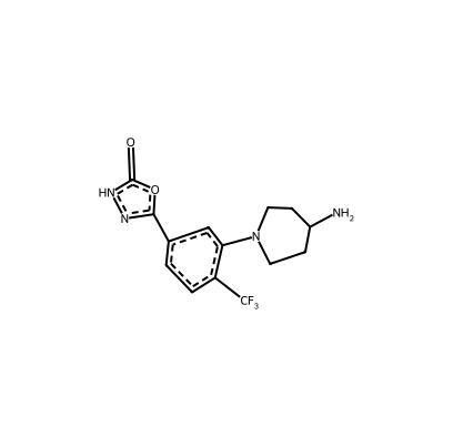 NC1CCN(c2cc(-c3n[nH]c(=O)o3)ccc2C(F)(F)F)CC1